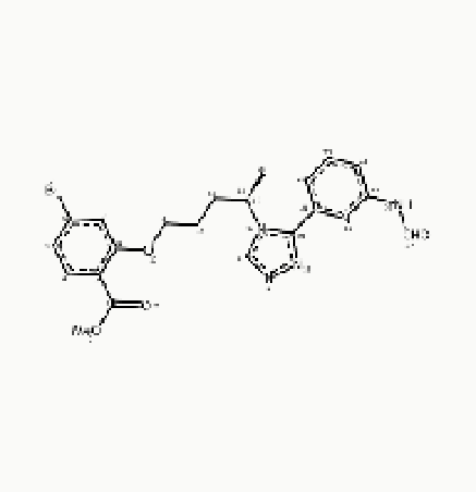 COC(=O)c1ccc(Br)cc1OCCC[C@@H](C)n1cnnc1-c1cccc(NC=O)n1